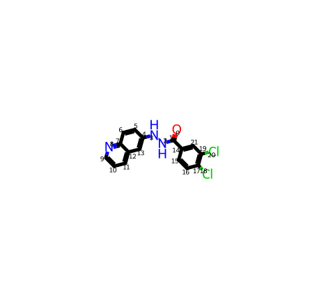 O=C(NNc1ccc2ncccc2c1)c1ccc(Cl)c(Cl)c1